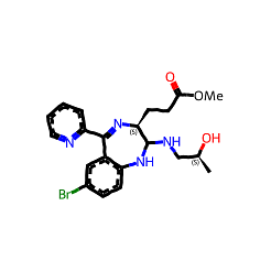 COC(=O)CC[C@@H]1N=C(c2ccccn2)c2cc(Br)ccc2NC1NC[C@H](C)O